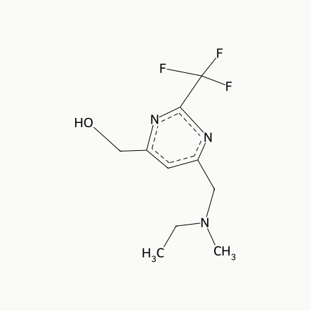 CCN(C)Cc1cc(CO)nc(C(F)(F)F)n1